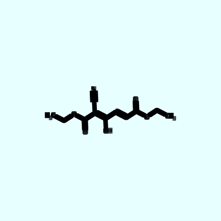 CCOC(=O)/C=C/C(O)=C(\C#N)C(=O)OCC